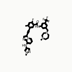 Cc1cc(F)c(C(=O)Nc2cc(CN3CCCN(C)CC3)cc(C(F)(F)F)c2)cc1C#Cc1cnc2c(Nc3cnn(C)c3)cccn12